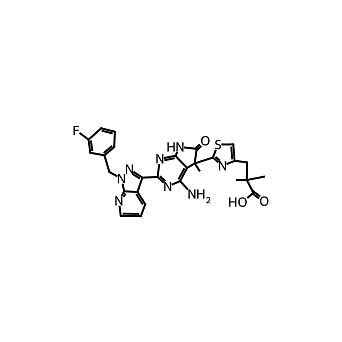 CC(C)(Cc1csc(C2(C)C(=O)Nc3nc(-c4nn(Cc5cccc(F)c5)c5ncccc45)nc(N)c32)n1)C(=O)O